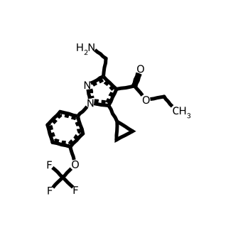 CCOC(=O)c1c(CN)nn(-c2cccc(OC(F)(F)F)c2)c1C1CC1